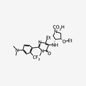 CCO[C@H]1CN(C(=O)O)C[C@H]1Nc1c(CC)nc(-c2ccc(N(C)C)cc2C(F)(F)F)n(C)c1=O